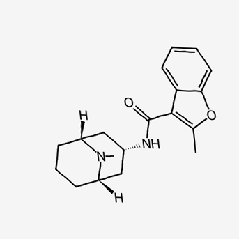 Cc1oc2ccccc2c1C(=O)N[C@H]1C[C@H]2CCC[C@@H](C1)N2C